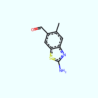 Cc1cc2nc(N)sc2cc1C=O